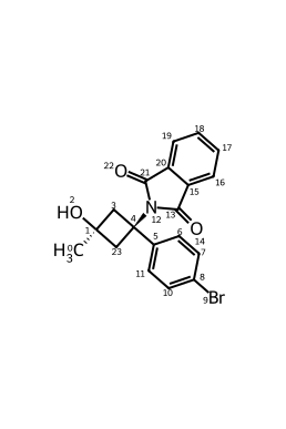 C[C@]1(O)C[C@@](c2ccc(Br)cc2)(N2C(=O)c3ccccc3C2=O)C1